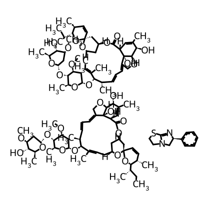 CC[C@H](C)[C@H]1O[C@]2(C=C[C@@H]1C)C[C@@H]1C[C@@H](C/C=C(\C)[C@@H](O[C@H]3C[C@H](OC)[C@@H](O[C@H]4C[C@H](OC)[C@@H](O)[C@H](C)O4)[C@H](C)O3)[C@@H](C)/C=C/C=C3\CO[C@@H]4[C@H](O)C(C)=C[C@@H](C(=O)O1)[C@]34O)O2.CO[C@H]1C[C@H](O[C@H]2[C@H](C)O[C@@H](O[C@@H]3/C(C)=C/C[C@@H]4C[C@@H](C[C@]5(C=C[C@H](C)[C@@H](C(C)C)O5)O4)OC(=O)[C@@H]4C=C(C)[C@@H](O)[C@H]5OC/C(=C\C=C\[C@@H]3C)[C@]54O)C[C@@H]2OC)O[C@@H](C)[C@@H]1O.c1ccc([C@H]2CN3CCSC3=N2)cc1